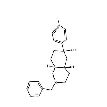 OC1(c2ccc(F)cc2)CC[C@@H]2CN(Cc3ccccc3)CC[C@H]2C1